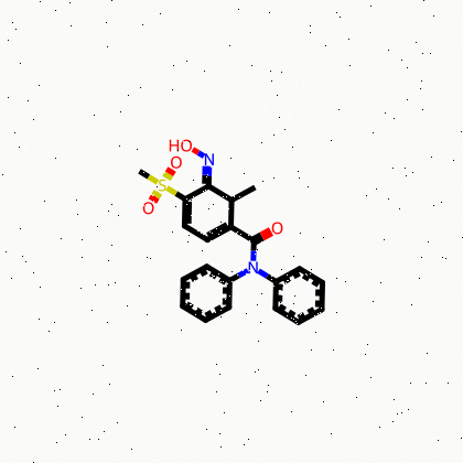 CC1C(C(=O)N(c2ccccc2)c2ccccc2)=CC=C(S(C)(=O)=O)C1=NO